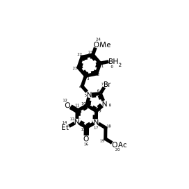 Bc1cc(Cn2c(Br)nc3c2c(=O)n(CC)c(=O)n3CCOC(C)=O)ccc1OC